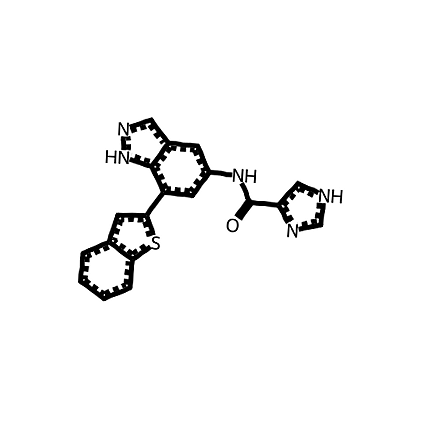 O=C(Nc1cc(-c2cc3ccccc3s2)c2[nH]ncc2c1)c1c[nH]cn1